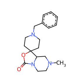 CN1CCN2C(=O)OC3(CCN(Cc4ccccc4)CC3)C2C1